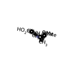 COc1ccc(C23CC/C(=N\NC(=O)Nc4ccc(C(=O)O)cc4)CC2N(C)CC3)cc1OC